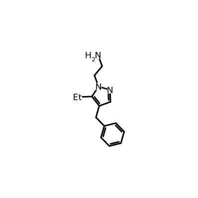 CCc1c(Cc2ccccc2)cnn1CCN